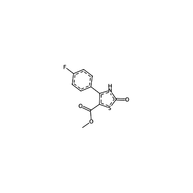 COC(=O)c1sc(=O)[nH]c1-c1ccc(F)cc1